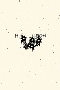 Cc1ccc(COc2cccc(-c3cc(F)c(Cc4nc5ccc(C(O)O)cc5n4CC4(F)CCOCC4)cc3F)n2)c(F)c1